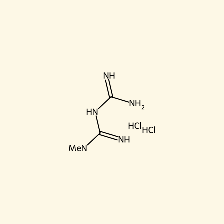 CNC(=N)NC(=N)N.Cl.Cl